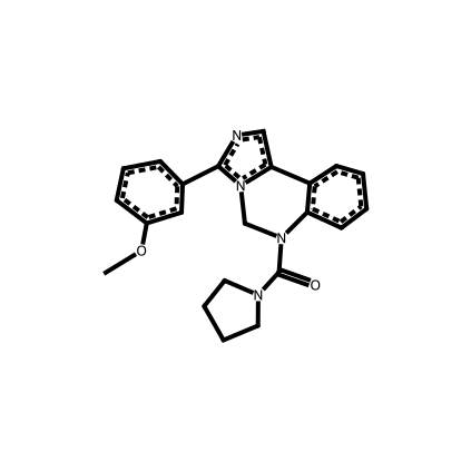 COc1cccc(-c2ncc3n2CN(C(=O)N2CCCC2)c2ccccc2-3)c1